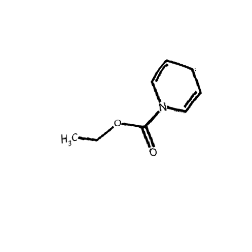 CCOC(=O)N1C=C[C]C=C1